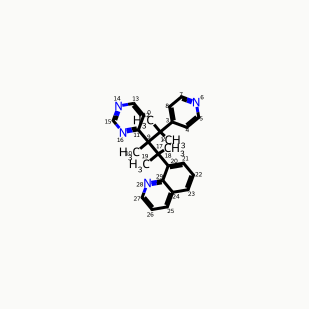 CC(C)(c1ccncc1)C(C)(c1ccncn1)C(C)(C)c1cccc2cccnc12